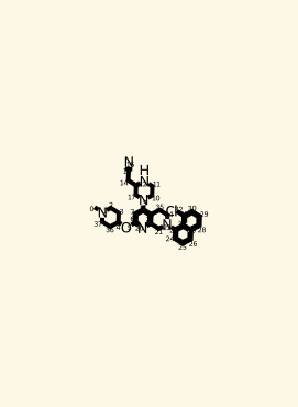 CN1CCC(Oc2cc(N3CCNC(CC#N)C3)c3c(n2)CN(c2cccc4cccc(Cl)c24)CC3)CC1